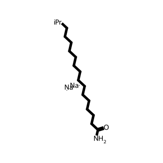 CC(C)CCCCCCCCCCCCCCC(N)=O.[Na].[Na]